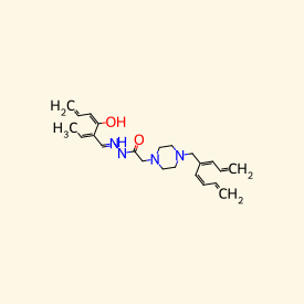 C=C/C=C\C(=C/C=C)CN1CCN(CC(=O)N/N=C/C(=C/C)C(/O)=C\C=C)CC1